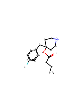 CCCC(=O)OC1(Cc2ccc(F)cc2)CCNCC1